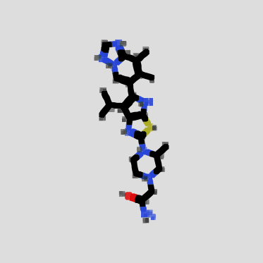 Cc1c(-c2[nH]c3sc(N4CCN(CC(N)=O)CC4C)nc3c2C(C)C)cn2ncnc2c1C